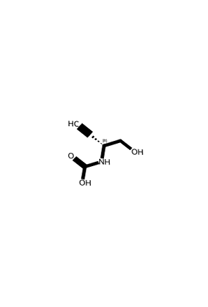 C#C[C@H](CO)NC(=O)O